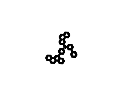 c1ccc(-c2cccc(N(c3ccc(-c4cc5c6ccccc6ccc5c5ccccc45)cc3)c3ccc4ccc5ccccc5c4c3)c2)cc1